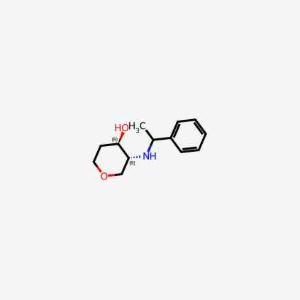 CC(N[C@@H]1COCC[C@H]1O)c1ccccc1